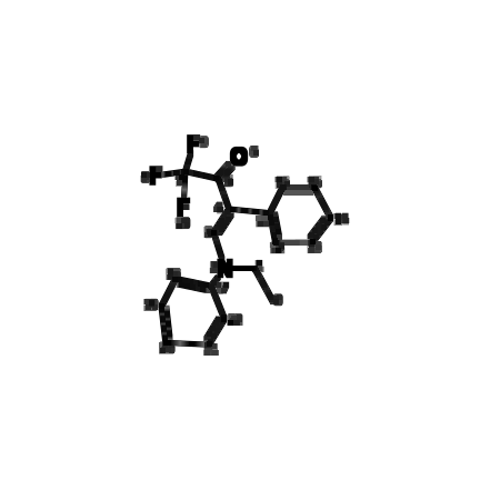 CCN(/C=C(/C(=O)C(F)(F)F)c1ccccc1)c1ccccc1